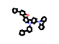 c1ccc(-c2cccc(-n3c4cc(-n5c6ccccc6c6ccccc65)ccc4c4c5oc6ccc(-c7ccccc7)cc6c5ccc43)c2)cc1